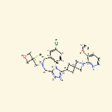 COc1cccnc1N1CC2(CC(c3nnc4n3-c3ccc(Cl)cc3CN(CC3(F)COC3)C4)C2)C1